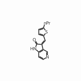 CCCc1ccc(C=C2C(=O)Nc3ccncc32)s1